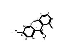 Cc1cccc(C)c1C(=O)c1ccc(F)cc1